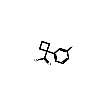 NC(=O)C1(c2cccc(Cl)c2)CCC1